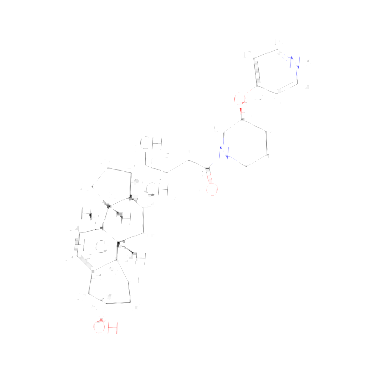 CC(CCC(=O)N1CCC[C@H](Oc2ccncc2)C1)[C@H]1CC[C@H]2[C@@H]3CC=C4C[C@@H](O)CC[C@]4(C)[C@H]3CC[C@]12C